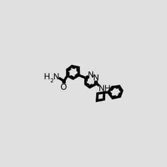 NC(=O)c1cccc(-c2ccc(NC3(c4ccccc4)CCC3)nn2)c1